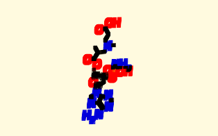 CC(CN(C)CCC(=O)O)C(=O)OC[C@H]1O[C@@H](n2cnc3c(N)ncnc32)C[C@@H]1OP(N)(=O)O